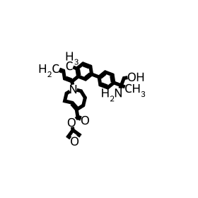 C=C/C=C(\c1cc(-c2ccc(C(C)(N)CO)cc2)ccc1C)N1CC/C=C(\C(=O)OC2COC2)CCC1